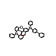 c1ccc(-c2ccc(N(c3ccccc3)c3cc4c5c(cccc5c3)-c3c(cccc3N(c3ccccc3)c3ccccc3)O4)cc2)cc1